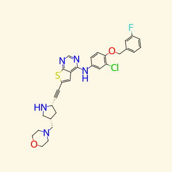 Fc1cccc(COc2ccc(Nc3ncnc4sc(C#C[C@@H]5C[C@H](CN6CCOCC6)CN5)cc34)cc2Cl)c1